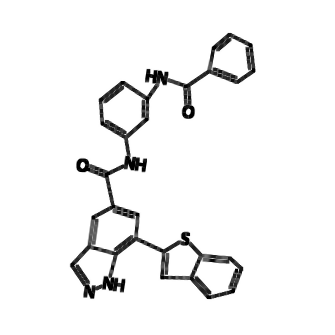 O=C(Nc1cccc(NC(=O)c2cc(-c3cc4ccccc4s3)c3[nH]ncc3c2)c1)c1ccccc1